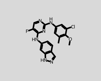 COc1c(C)cc(Nc2ncc(F)c(Nc3ccc4cn[nH]c4c3)n2)cc1Cl